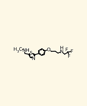 CNCc1cnc(-c2ccc(OCCCNCC(F)(F)F)cc2)s1